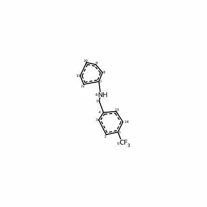 FC(F)(F)c1ccc(CNc2cc[c]cc2)cc1